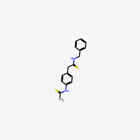 CC(=S)Nc1ccc(CC(=S)NCc2ccccc2)cc1